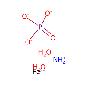 O.O.O=P([O-])([O-])[O-].[Fe+2].[NH4+]